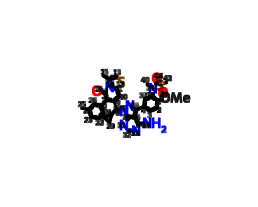 COc1ccc(-c2nn([C@H](c3cc4scc(C)n4c(=O)c3-c3cccc(C)c3)C3CC3)c3ncnc(N)c23)cc1N(C)S(C)(=O)=O